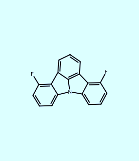 Fc1cccc2c1c1cccc3c4c(F)cccc4n2c13